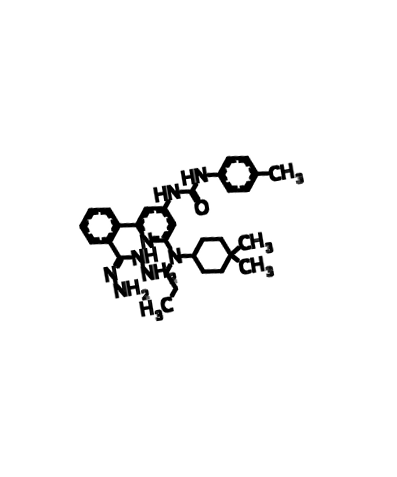 CCCN(c1cc(NC(=O)Nc2ccc(C)cc2)cc(-c2ccccc2/C(=N/N)NN)n1)C1CCC(C)(C)CC1